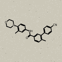 Cc1ccc(C(=O)Nc2ccc(N3CCOCC3)c(C)c2)cc1-c1ccc(C#N)cc1